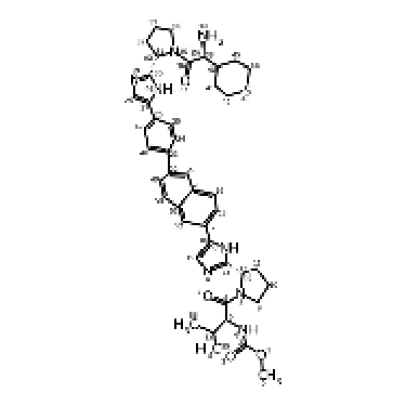 COC(=O)NC(C(=O)N1CCC[C@H]1c1ncc(-c2ccc3cc(-c4ccc(-c5cnc([C@@H]6CCCN6C(=O)[C@@H](N)C6CCSCC6)[nH]5)cc4)ccc3c2)[nH]1)C(C)C